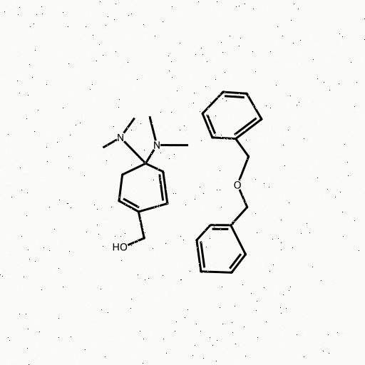 CN(C)C1(N(C)C)C=CC(CO)=CC1.c1ccc(COCc2ccccc2)cc1